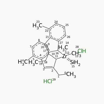 CCC1=Cc2c(C)cccc2[CH]1[Zr]([CH3])([CH3])(=[SiH2])[CH]1C(CC)=Cc2c(C)cccc21.Cl.Cl